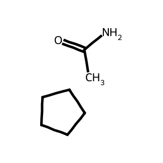 C1CCCC1.CC(N)=O